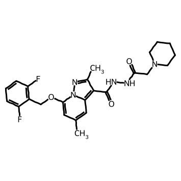 Cc1cc(OCc2c(F)cccc2F)n2nc(C)c(C(=O)NNC(=O)CN3CCCCC3)c2c1